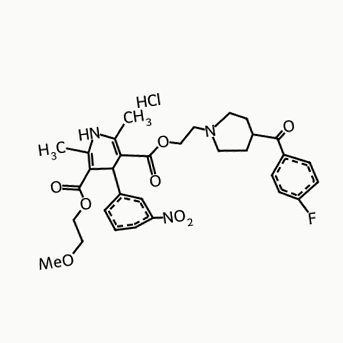 COCCOC(=O)C1=C(C)NC(C)=C(C(=O)OCCN2CCC(C(=O)c3ccc(F)cc3)CC2)C1c1cccc([N+](=O)[O-])c1.Cl